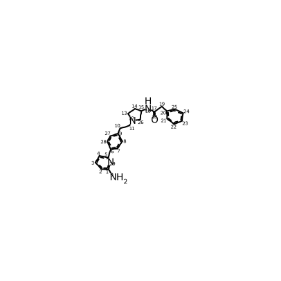 Nc1cccc(-c2ccc(CCN3CCC(NC(=O)Cc4ccccc4)C3)cc2)n1